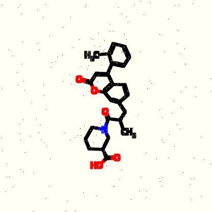 Cc1ccccc1-c1cc(=O)oc2cc(CC(C)C(=O)N3CCC[C@H](C(=O)O)C3)ccc12